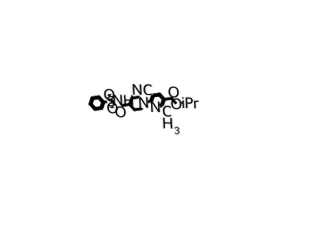 Cc1nc(N2CCC(C(=O)NS(=O)(=O)c3ccccc3)CC2)c(C#N)cc1C(=O)OC(C)C